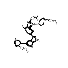 Cc1ccncc1-c1cnc2[nH]cc(-c3cc(F)c4nc(C)n(C5CCN(C)CC5)c4c3)c2c1